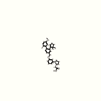 COc1ccc(F)c(-c2ccc(COc3cccc(N4CCC[C@H]4CC(=O)O)c3)cc2C2=CCCC2(C)C)c1